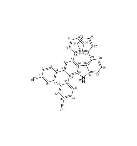 Fc1ccc(-c2cc(-c3ccccc3)c3c([nH]c4cccc(-c5ccccc5)c43)c2-c2ccc(F)cc2)cc1